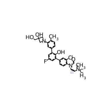 Cc1ccc(-c2cc(F)cc(-c3ccc(N(C=O)/C=C\N(C)C)c(Cl)c3)c2O)cc1N1CC(O)(CO)C1